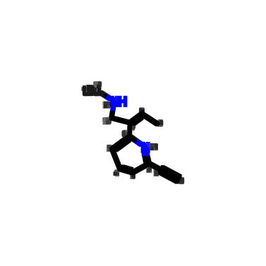 C#Cc1cccc(/C(=C\C)CNC(C)(C)C)n1